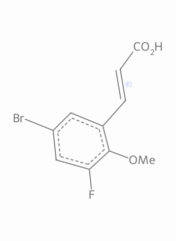 COc1c(F)cc(Br)cc1/C=C/C(=O)O